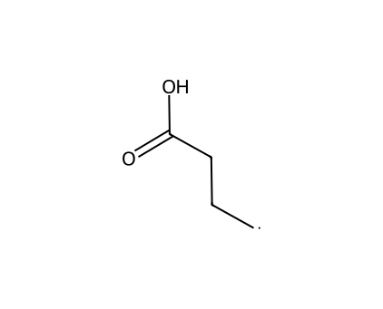 [CH2]CCC(=O)O